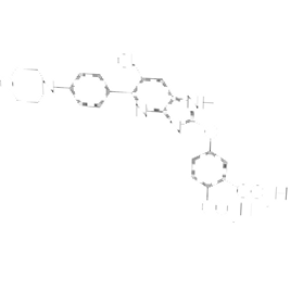 O=C(O)c1ccc(Oc2nc3nc(-c4ccc(N5CCOCC5)cc4)c(Cl)cc3[nH]2)cc1C(=O)O